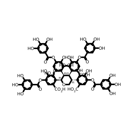 O=C(Oc1cc(C(=O)O)c([C@@H]2[C@H](c3c(C(=O)O)cc(OC(=O)c4cc(O)c(O)c(O)c4)c(O)c3O)[C@H](c3c(C(=O)O)cc(OC(=O)c4cc(O)c(O)c(O)c4)c(O)c3O)OC[C@H]2c2c(C(=O)O)cc(OC(=O)c3cc(O)c(O)c(O)c3)c(O)c2O)c(O)c1O)c1cc(O)c(O)c(O)c1